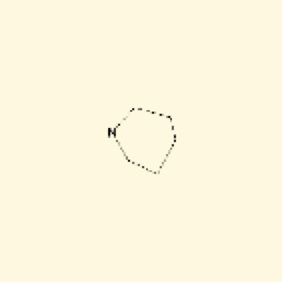 C1CC[N]CC1